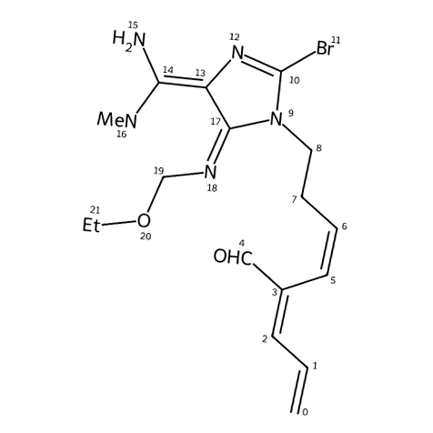 C=C/C=C(C=O)\C=C/CCN1C(Br)=NC(=C(\N)NC)/C1=N\COCC